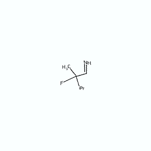 CC(C)C(C)(F)C=N